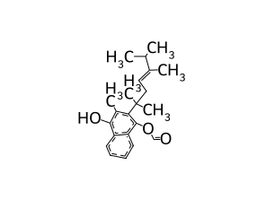 C/C(=C\CC(C)(C)c1c(C)c(O)c2ccccc2c1OC=O)C(C)C